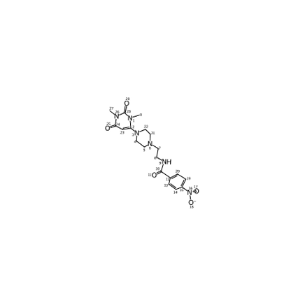 Cn1c(N2CCN(CCNC(=O)c3ccc([N+](=O)[O-])cc3)CC2)cc(=O)n(C)c1=O